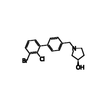 O[C@@H]1CCN(Cc2ccc(-c3cccc(Br)c3Cl)cc2)C1